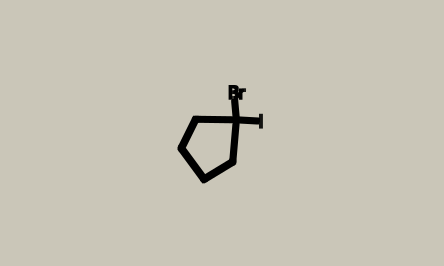 BrC1(I)CCCC1